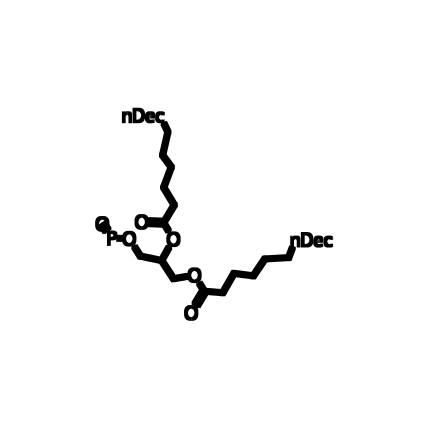 CCCCCCCCCCCCCCCC(=O)OCC(COP=O)OC(=O)CCCCCCCCCCCCCCC